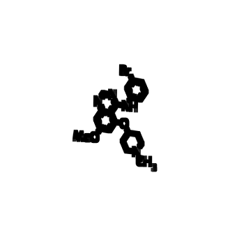 COc1cc(OC2CCN(C)CC2)c2c(Nc3cccc(Br)c3)ncnc2c1